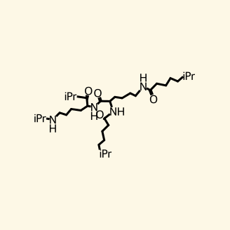 CC(C)CCCCC(=O)NCCCCC(NC(=O)CCCCC(C)C)C(=O)NC(CCCCNC(C)C)C(=O)C(C)C